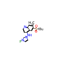 Cc1cc2nccc(NN3C=CN(F)C3)c2cc1S(=O)(=O)C(C)(C)C